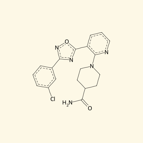 NC(=O)C1CCN(c2ncccc2-c2nc(-c3cccc(Cl)c3)no2)CC1